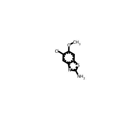 COc1cc2sc(N)nc2cc1Cl